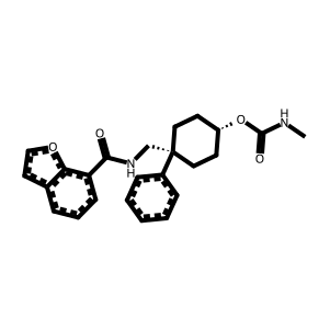 CNC(=O)O[C@H]1CC[C@](CNC(=O)c2cccc3ccoc23)(c2ccccc2)CC1